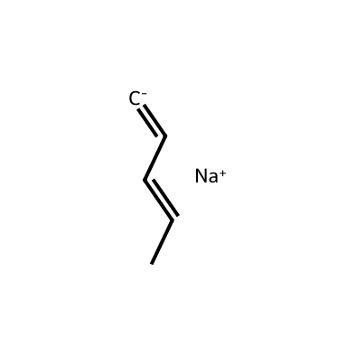 [CH-]=CC=CC.[Na+]